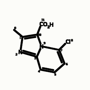 Cc1nc2cccc(Cl)n2c1C(=O)O